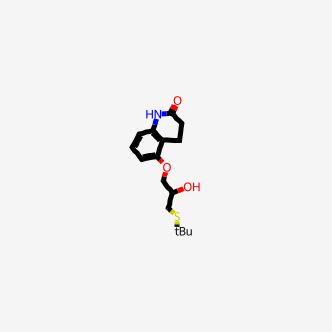 CC(C)(C)SCC(O)COc1cccc2c1CCC(=O)N2